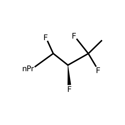 [CH2]CCC(F)[C@H](F)C(C)(F)F